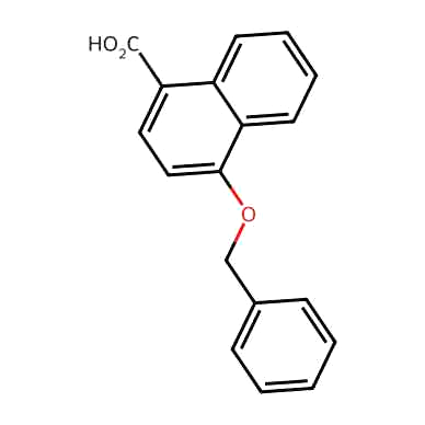 O=C(O)c1ccc(OCc2ccccc2)c2ccccc12